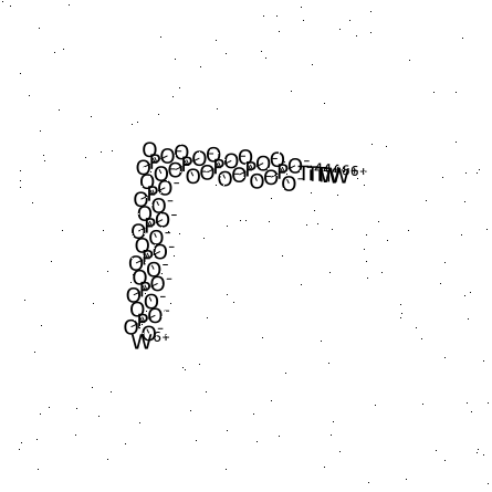 O=P([O-])([O-])[O-].O=P([O-])([O-])[O-].O=P([O-])([O-])[O-].O=P([O-])([O-])[O-].O=P([O-])([O-])[O-].O=P([O-])([O-])[O-].O=P([O-])([O-])[O-].O=P([O-])([O-])[O-].O=P([O-])([O-])[O-].O=P([O-])([O-])[O-].[Ti+4].[Ti+4].[Ti+4].[W+6].[W+6].[W+6]